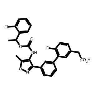 Cc1onc(-c2cccc(-c3cc(CC(=O)O)ccc3F)c2)c1NC(=O)OC(C)c1ccccc1Cl